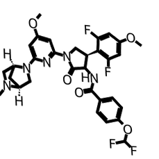 COc1cc(N2C[C@@H](c3c(F)cc(OC)cc3F)C(NC(=O)c3ccc(OC(F)F)cc3)C2=O)nc(N2C[C@@H]3C[C@H]2CN3C)c1